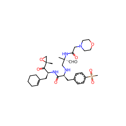 C[C@](C=O)(CN[C@@H](Cc1ccc(S(C)(=O)=O)cc1)C(=O)N[C@@H](CC1=CCCCC1)C(=O)[C@@]1(C)CO1)NC(=O)CN1CCOCC1